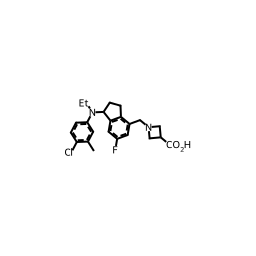 CCN(c1ccc(Cl)c(C)c1)C1CCc2c(CN3CC(C(=O)O)C3)cc(F)cc21